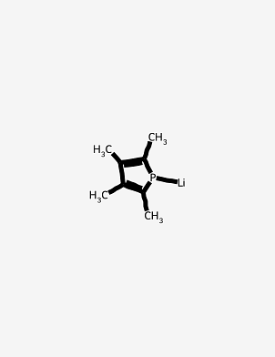 [Li][p]1c(C)c(C)c(C)c1C